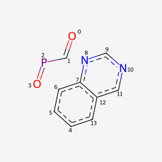 O=CP=O.c1ccc2ncncc2c1